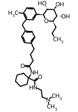 CCC[C@H]1O[C@@H](c2ccc(C)c(Cc3ccc(CCCC(=O)NC4(C(=O)NCCN(C)C)CCCCC4)cc3)c2)[C@H](O)[C@@H](O)[C@@H]1O